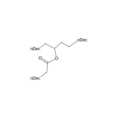 CCCCCCCCCCCCC(CCCCCCCCCCC)OC(=O)CCCCCCCCCCC